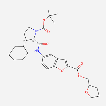 CC(C)(C)OC(=O)N1CC[C@@H](C2CCCCC2)[C@H]1C(=O)Nc1ccc2oc(C(=O)OCC3CCCO3)cc2c1